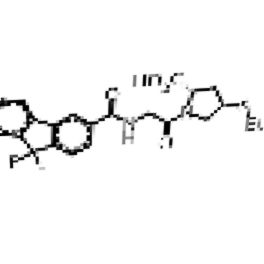 CCS[C@@H]1C[C@@H](C(=O)O)N(C(=O)CNC(=O)c2ccc3c(c2)-c2ccccc2C3(F)F)C1